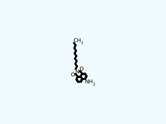 CCCCCCCCCCCCN1C(=O)c2cccc3c(N)ccc(c23)C1=O